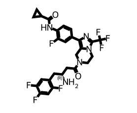 N[C@@H](CC(=O)N1CCn2c(C(F)(F)F)nc(-c3ccc(NC(=O)C4CC4)c(F)c3)c2C1)Cc1cc(F)c(F)cc1F